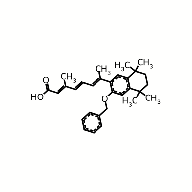 CC(/C=C/C=C(\C)c1cc2c(cc1OCc1ccccc1)C(C)(C)CCC2(C)C)=C\C(=O)O